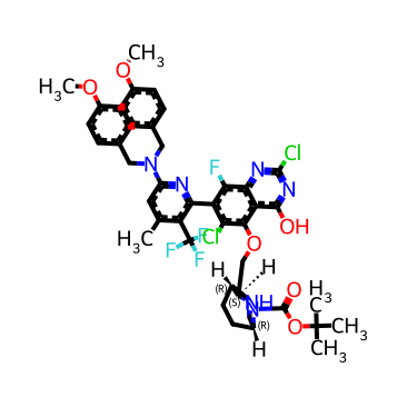 COc1ccc(CN(Cc2ccc(OC)cc2)c2cc(C)c(C(F)(F)F)c(-c3c(Cl)c(OC[C@H]4NC[C@H]5CC[C@@H]4CN5C(=O)OC(C)(C)C)c4c(O)nc(Cl)nc4c3F)n2)cc1